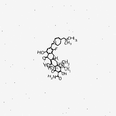 CN(C)CC1CCN(Cc2cc(O)c3c(c2F)C[C@H]2C[C@H]4[C@H](N(C)C)C(O)=C(C(N)=O)C(=O)[C@@]4(O)C(O)=C2C3=O)CC1